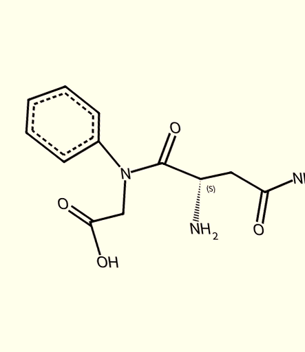 NC(=O)C[C@H](N)C(=O)N(CC(=O)O)c1ccccc1